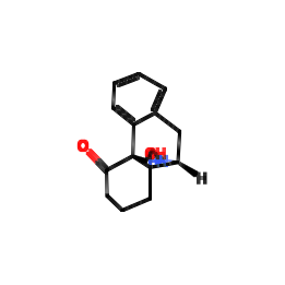 O=C1CCCC2(O)[C@H]3Cc4ccccc4[C@@]12CCN3